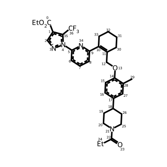 CCOC(=O)c1cnn(-c2cccc(C3=C(COc4ccc(C5CCN(C(=O)CC)CC5)cc4C)CCCC3)n2)c1C(F)(F)F